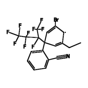 CCC1=CC(c2ccccc2C#N)(C(F)(C(F)(F)F)C(F)(F)C(F)(F)F)C=C(Br)[CH]1